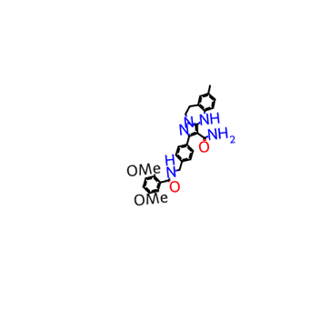 COc1cccc(OC)c1C(=O)NCc1ccc(-c2nn3c(c2C(N)=O)Nc2ccc(C)cc2CC3)cc1